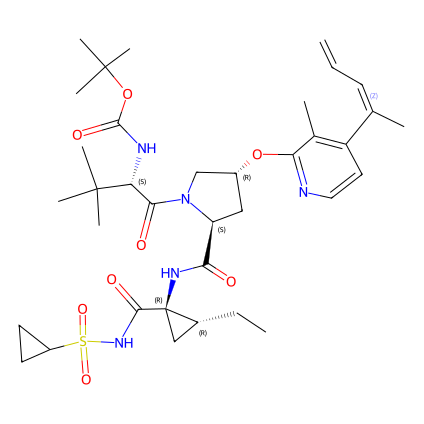 C=C/C=C(/C)c1ccnc(O[C@@H]2C[C@@H](C(=O)N[C@]3(C(=O)NS(=O)(=O)C4CC4)C[C@H]3CC)N(C(=O)[C@@H](NC(=O)OC(C)(C)C)C(C)(C)C)C2)c1C